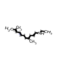 CCNCCCC(C)CC/C=C/C=C(C)C